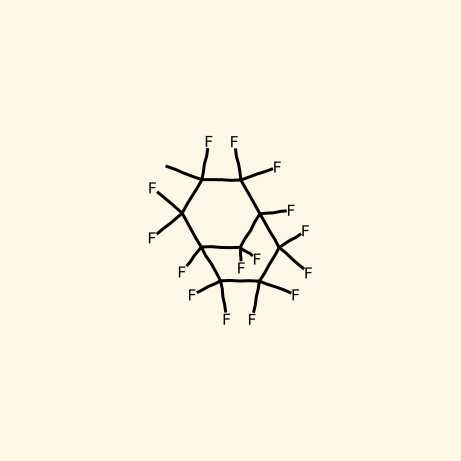 CC1(F)C(F)(F)C2(F)C(F)(F)C(F)(F)C(F)(F)C(F)(C1(F)F)C2(F)F